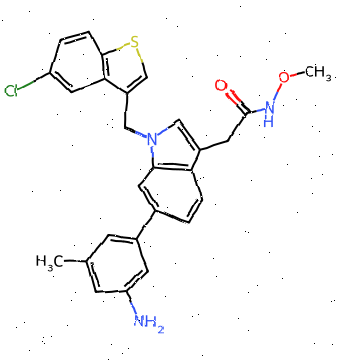 CONC(=O)Cc1cn(Cc2csc3ccc(Cl)cc23)c2cc(-c3cc(C)cc(N)c3)ccc12